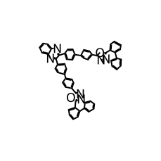 c1ccc(-c2ccccc2-c2nnc(-c3ccc(-c4ccc(-c5nc6ccccc6nc5-c5ccc(-c6ccc(-c7nnc(-c8ccccc8-c8ccccc8)o7)cc6)cc5)cc4)cc3)o2)cc1